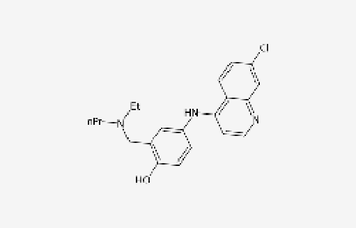 CCCN(CC)Cc1cc(Nc2ccnc3cc(Cl)ccc23)ccc1O